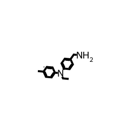 CCN(c1c[c]c(C)cc1)c1ccc(CN)cc1